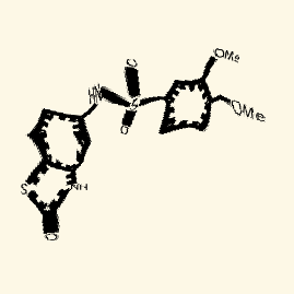 COc1ccc(S(=O)(=O)Nc2ccc3sc(=O)[nH]c3c2)cc1OC